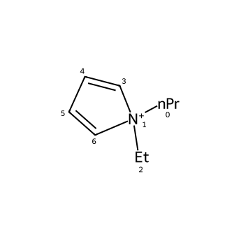 CCC[N+]1(CC)C=CC=C1